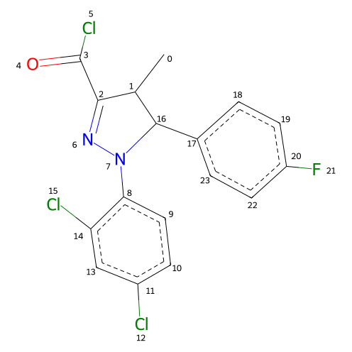 CC1C(C(=O)Cl)=NN(c2ccc(Cl)cc2Cl)C1c1ccc(F)cc1